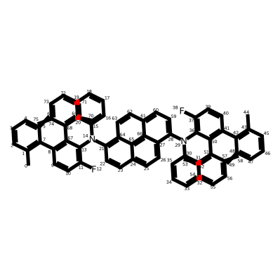 Cc1cccc(C)c1-c1ccc(F)c(N(c2ccccc2)c2ccc3ccc4c(N(c5ccccc5)c5c(F)ccc(-c6c(C)cccc6C)c5-c5c(C)cccc5C)ccc5ccc2c3c54)c1-c1c(C)cccc1C